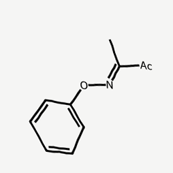 CC(=O)C(C)=NOc1ccccc1